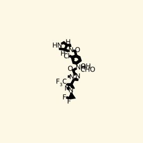 Cn1c(-c2cn(C3CC3(F)F)nc2C(F)(F)F)cnc1C(=O)Nc1ccc(C(=O)N2C[C@H]3CNC[C@@H]3C2)c(Cl)c1.O=CO